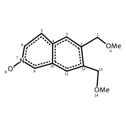 COCc1cc2cc[n+]([O-])cc2cc1COC